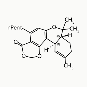 CCCCCc1cc2c(c3c1C(=O)OCO3)[C@@H]1C=C(C)CC[C@H]1C(C)(C)O2